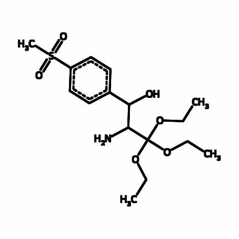 CCOC(OCC)(OCC)C(N)C(O)c1ccc(S(C)(=O)=O)cc1